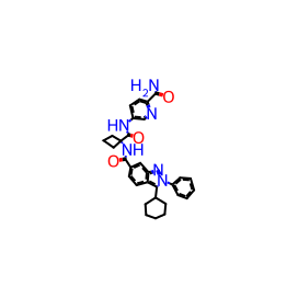 NC(=O)c1ccc(NC(=O)C2(NC(=O)c3ccc4c(C5CCCCC5)n(-c5ccccc5)nc4c3)CCC2)cn1